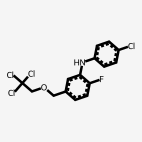 Fc1ccc(COCC(Cl)(Cl)Cl)cc1Nc1ccc(Cl)cc1